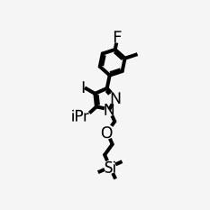 Cc1cc(-c2nn(COCC[Si](C)(C)C)c(C(C)C)c2I)ccc1F